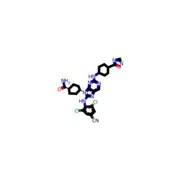 N#Cc1cc(Cl)c(Nc2nc3cnc(NC4CCC(c5ncno5)CC4)nc3n2[C@H]2CC[C@H](C(N)=O)CC2)c(Cl)c1